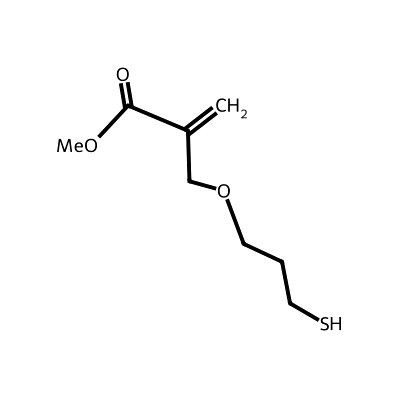 C=C(COCCCS)C(=O)OC